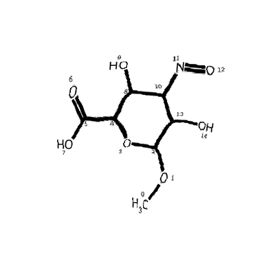 COC1OC(C(=O)O)C(O)C(N=O)C1O